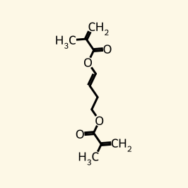 C=C(C)C(=O)OC=CCCOC(=O)C(=C)C